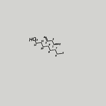 C=CCC=C.CCCCCCCCO